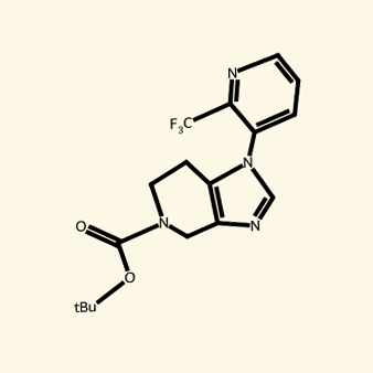 CC(C)(C)OC(=O)N1CCc2c(ncn2-c2cccnc2C(F)(F)F)C1